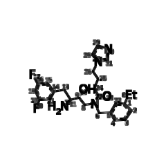 CCc1cccc(CN(C[C@@H](O)[C@@H](N)Cc2cc(F)cc(F)c2)C(=O)CCCn2ccnc2)c1